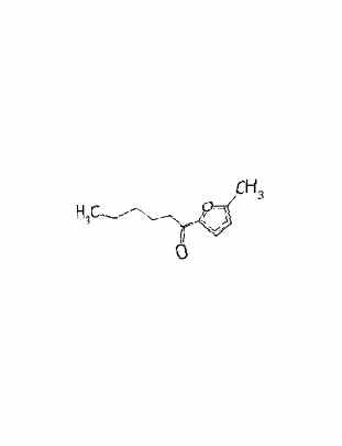 CCCCCC(=O)c1ccc(C)o1